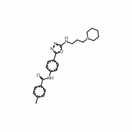 Cc1ccc(C(=O)Nc2ccc(-c3nnc(NCCCN4CCCCC4)o3)cc2)cc1